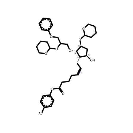 CC(=O)c1ccc(OC(=O)CCC/C=C\C[C@@H]2[C@H](OCC(COc3ccccc3)OC3CCCCO3)[C@@H](OC3CCCCO3)C[C@H]2O)cc1